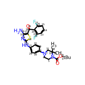 CC(C)(C)OC(=O)N1CCN(c2ccc(Nc3nc(N)c(C(=O)c4c(F)cccc4F)s3)cc2)CC1(C)C